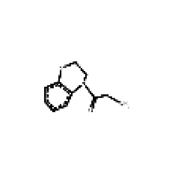 NCC(=O)N1CCSc2ccccc21